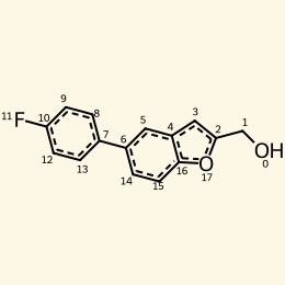 OCc1cc2cc(-c3ccc(F)cc3)ccc2o1